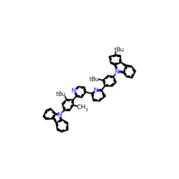 Cc1cc(-n2c3ccccc3c3ccccc32)cc(C(C)(C)C)c1-c1cc(-c2cccc(-c3ccc(-n4c5ccccc5c5cc(C(C)(C)C)ccc54)cc3C(C)(C)C)n2)ccn1